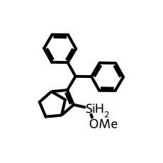 CO[SiH2]C1=C(C(c2ccccc2)c2ccccc2)C2CCC1C2